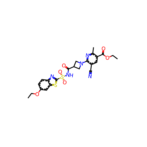 CCOC(=O)c1cc(C#N)c(N2CC(C(=O)NS(=O)(=O)c3nc4ccc(OCC)cc4s3)C2)nc1C